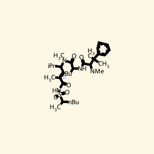 CCCCC(C)S(=O)(=O)NC(=O)/C(C)=C/C(C(C)C)N(C)C(=O)C(NC(=O)C(NC)C(C)(C)c1ccccc1)C(C)(C)C